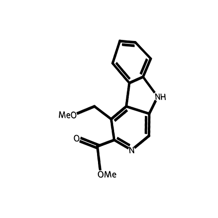 COCc1c(C(=O)OC)ncc2[nH]c3ccccc3c12